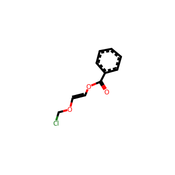 O=C(O/C=C/OCCl)c1ccccc1